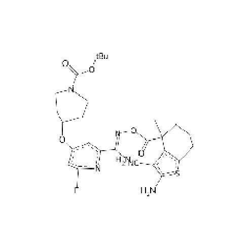 CC(C)(C)OC(=O)N1CCC(Oc2cc(F)nc(/C(N)=N/OC(=O)C3(C)CCCc4sc(N)c(C#N)c43)c2)CC1